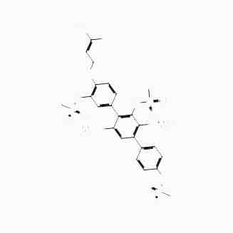 CCC(=CCOc1ccc(-c2c(OC)cc(-c3ccc(OS(C)(=O)=O)cc3)c(OC)c2OS(C)(=O)=O)cc1OS(C)(=O)=O)CC